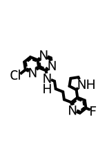 Fc1cnc(CCCCNc2ncnc3ccc(Cl)nc23)c(C2CCCN2)c1